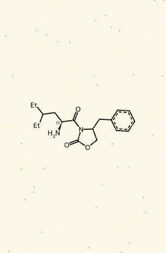 CCC(CC)C[C@H](N)C(=O)N1C(=O)OCC1Cc1ccccc1